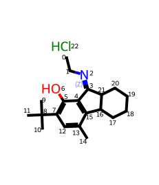 CC/N=C1\c2c(O)c(C(C)(C)C)cc(C)c2C2CCCCC12.Cl